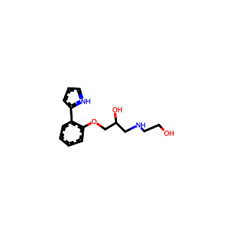 OCCNCC(O)COc1ccccc1-c1ccc[nH]1